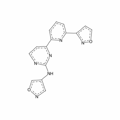 c1cc(-c2ccon2)nc(-c2ccnc(Nc3cnoc3)n2)c1